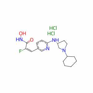 Cl.Cl.O=C(NO)/C(F)=C\c1ccc(N[C@@H]2CCN(C3CCCCC3)C2)nc1